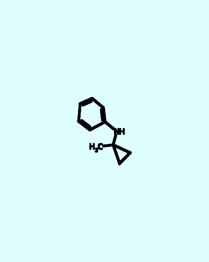 CC1(Nc2ccccc2)CC1